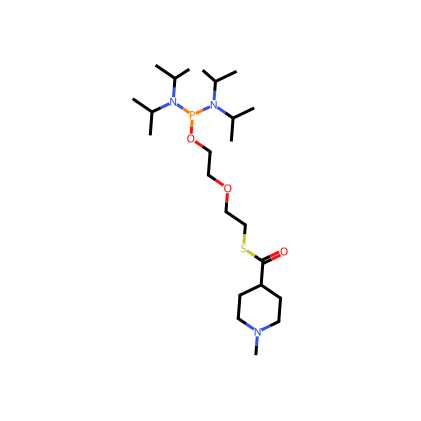 CC(C)N(C(C)C)P(OCCOCCSC(=O)C1CCN(C)CC1)N(C(C)C)C(C)C